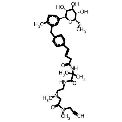 C#CCN(C)C(=O)CN(C)CCNC(=O)C(C)(C)NC(=O)C/C=C/c1ccc(Cc2cc([C@@H]3O[C@H](SC)[C@@H](O)[C@H](O)[C@H]3O)ccc2C)cc1